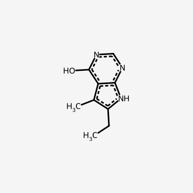 CCc1[nH]c2ncnc(O)c2c1C